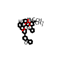 CC(C)(C)c1cc(-c2ccccc2N(c2cccc(-c3ccc4oc5ccccc5c4c3)c2)c2ccccc2-c2cccc3cccc(-c4ccccc4)c23)cc(C(C)(C)C)c1